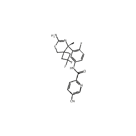 C[C@]1(c2cc(NC(=O)c3ccc(C#N)cn3)ccc2F)N=C(N)SCC12CC(F)(F)C2